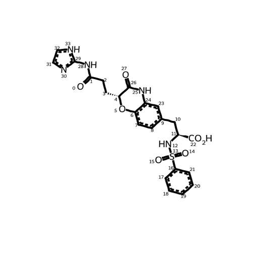 O=C(CC[C@H]1Oc2ccc(C[C@H](NS(=O)(=O)c3ccccc3)C(=O)O)cc2NC1=O)Nc1ncc[nH]1